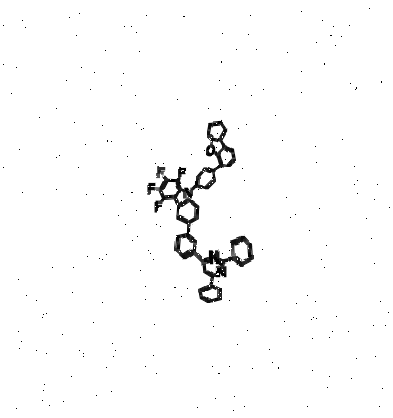 Fc1c(F)c(F)c2c(c1F)c1cc(-c3cccc(-c4cc(-c5ccccc5)nc(-c5ccccc5)n4)c3)ccc1n2-c1ccc(-c2cccc3c2oc2ccccc23)cc1